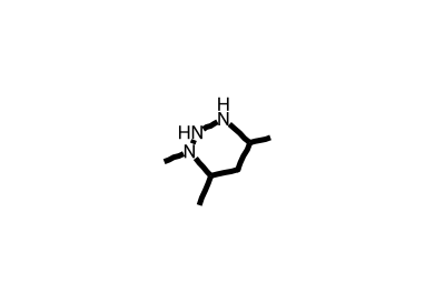 CC1CC(C)N(C)NN1